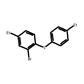 CCc1ccc(Sc2ccc(CC)cc2Br)cc1